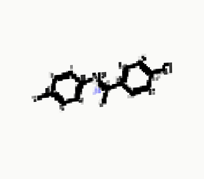 C/C(=N\c1ccc(C)cc1)c1ccc(Cl)cc1